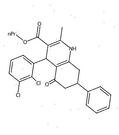 CCCOC(=O)C1=C(C)NC2=C(C(=O)CC(c3ccccc3)C2)C1c1cccc(Cl)c1Cl